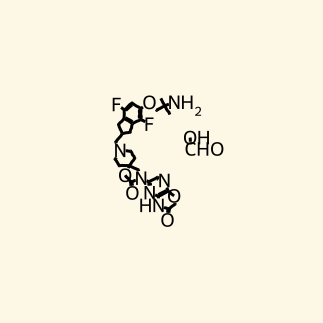 CC(C)(N)COc1cc(F)c2c(c1F)CC(CN1CCC3(CC1)CN(c1cnc4c(n1)NC(=O)CO4)C(=O)O3)C2.O=CO